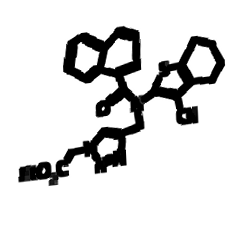 CCOC(=O)Cn1cc(CN(C(=O)c2cccc3ccccc23)c2sc3c(c2C#N)CCCC3)nn1